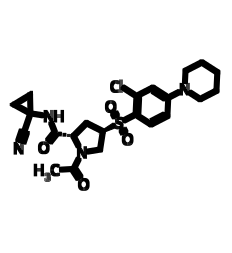 CC(=O)N1C[C@H](S(=O)(=O)c2ccc(N3CCCCC3)cc2Cl)C[C@H]1C(=O)NC1(C#N)CC1